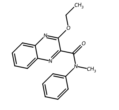 CCOc1nc2ccccc2nc1C(=O)N(C)c1ccccc1